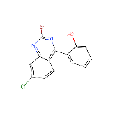 Oc1ccccc1-c1nc(Br)nc2cc(Cl)ccc12